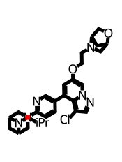 CC(C)CN1C2CC1CN(c1ccc(-c3cc(OCCN4CC5CC4CO5)cn4ncc(Cl)c34)cn1)C2